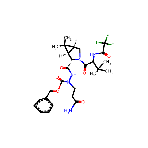 CC(C)(C)C(NC(=O)C(F)(F)F)C(=O)N1C[C@H]2[C@@H]([C@H]1C(=O)NN(CCC(N)=O)C(=O)OCc1ccccc1)C2(C)C